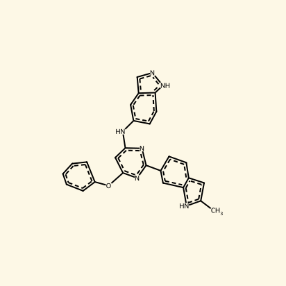 Cc1cc2ccc(-c3nc(Nc4ccc5[nH]ncc5c4)cc(Oc4ccccc4)n3)cc2[nH]1